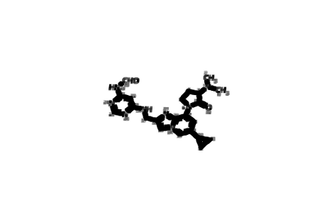 CN(C)C1CCN(c2cc(C3CC3)cn3cc(CNc4cc(NC=O)ncn4)nc23)C1=O